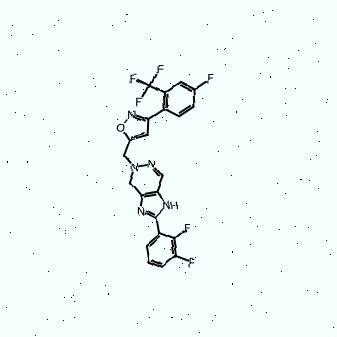 Fc1ccc(-c2cc(CN3Cc4nc(-c5cccc(F)c5F)[nH]c4C=N3)on2)c(C(F)(F)F)c1